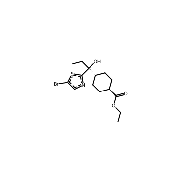 CCOC(=O)[C@H]1CC[C@H](C(O)(CC)c2ncc(Br)s2)CC1